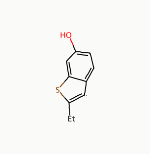 CCc1[c]c2ccc(O)cc2s1